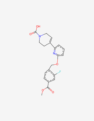 COC(=O)c1ccc(COc2cccc(C3=CCN(C(=O)O)CC3)n2)c(F)c1